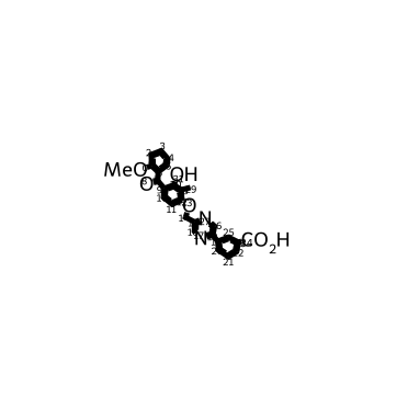 COc1ccccc1C(=O)c1ccc(OCc2cnc(-c3cccc(C(=O)O)c3)cn2)c(C)c1O